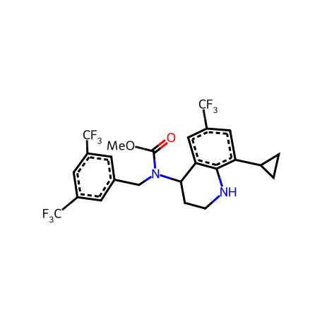 COC(=O)N(Cc1cc(C(F)(F)F)cc(C(F)(F)F)c1)C1CCNc2c(C3CC3)cc(C(F)(F)F)cc21